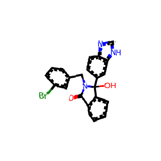 O=C1c2ccccc2C(O)(c2ccc3n[c][nH]c3c2)N1Cc1cccc(Br)c1